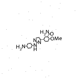 COc1ccc(-c2ccnc(Nc3ccc(N)cc3)n2)cc1C(N)=O